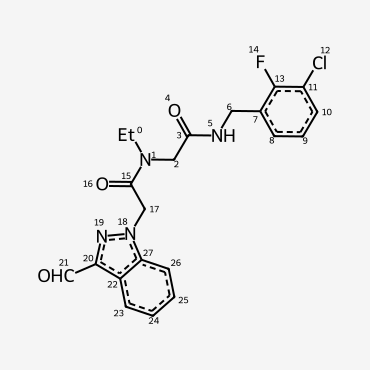 CCN(CC(=O)NCc1cccc(Cl)c1F)C(=O)Cn1nc(C=O)c2ccccc21